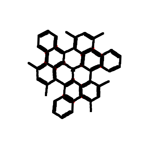 Cc1cc(C)c(-c2ccccc2)c([O][Al]([O]c2c(-c3ccccc3)c(C)cc(C)c2-c2ccccc2)[O]c2c(-c3ccccc3)c(C)cc(C)c2-c2ccccc2)c1-c1ccccc1